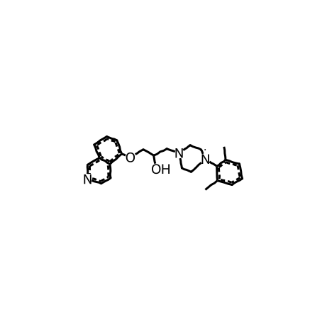 Cc1cccc(C)c1N1[CH]CN(CC(O)COc2cccc3cnccc23)CC1